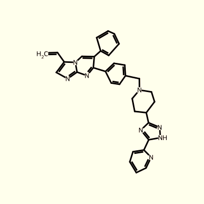 C=Cc1cnc2nc(-c3ccc(CN4CCC(c5n[nH]c(-c6ccccn6)n5)CC4)cc3)c(-c3ccccc3)cn12